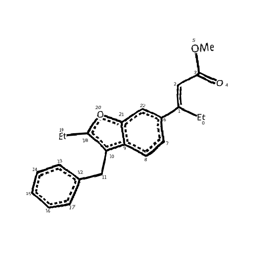 CCC(=CC(=O)OC)c1ccc2c(Cc3ccccc3)c(CC)oc2c1